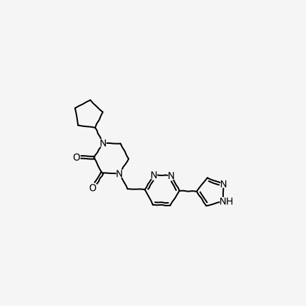 O=C1C(=O)N(C2CCCC2)CCN1Cc1ccc(-c2cn[nH]c2)nn1